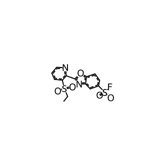 CCS(=O)(=O)c1cccnc1-c1nc2cc(S(=O)(=O)F)ccc2o1